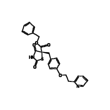 O=C1NC(=O)[C@](Cc2ccc(OCCc3ccccn3)cc2)(C(=O)OCc2ccccc2)S1